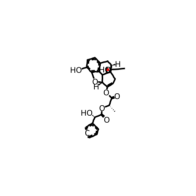 C[C@H](OC(=O)[C@@H](O)c1ccccc1)C(=O)OC1=CC[C@@]2(O)[C@H]3Cc4ccc(O)c5c4[C@@]2(CCN3C)[C@H]1O5